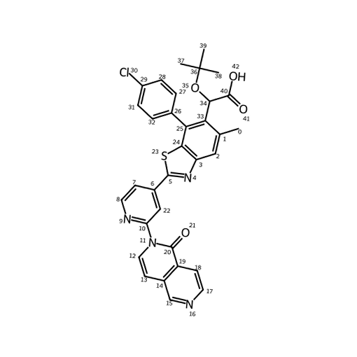 Cc1cc2nc(-c3ccnc(-n4ccc5cnccc5c4=O)c3)sc2c(-c2ccc(Cl)cc2)c1C(OC(C)(C)C)C(=O)O